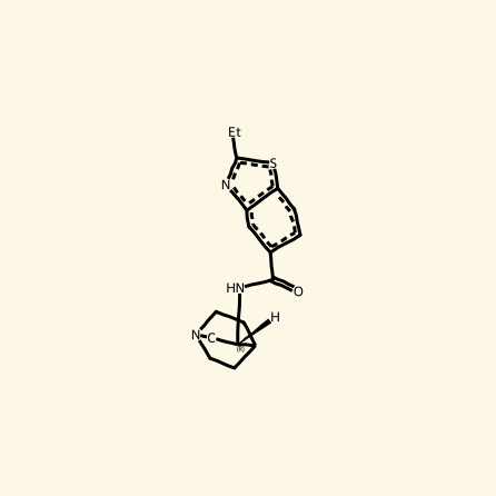 CCc1nc2cc(C(=O)N[C@H]3CN4CCC3CC4)ccc2s1